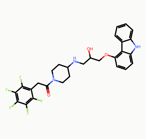 O=C(Cc1c(F)c(F)c(F)c(F)c1F)N1CCC(NCC(O)COc2cccc3[nH]c4ccccc4c23)CC1